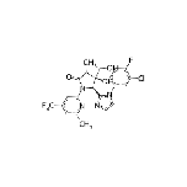 Cc1cc(C(F)(F)F)cc(N2C(=O)C(C)[C@](O)(CO)[C@H]2c2nccn2-c2ccc(F)c(Cl)c2)n1